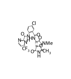 CNC(=O)C(=O)[C@H](C[C@@H]1C[C@@H](C)NC1=O)NC(=O)c1cc(Cl)ccc1NC(=O)c1nccc(C(F)(F)F)n1